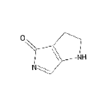 O=C1N=CC2=C1CCN2